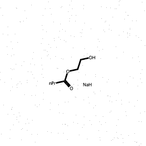 CCCC(=O)OCCO.[NaH]